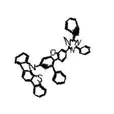 c1ccc(-c2nc(-c3ccccc3)nc(-c3ccc4c(c3)oc3cc(-n5c6ccccc6c6ccc7c8ccccc8sc7c65)cc(-c5ccccc5)c34)n2)cc1